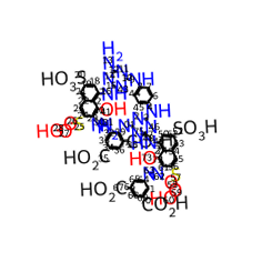 Nc1nc(Nc2ccc(Nc3nc(N)nc(Nc4cc(S(=O)(=O)O)cc5cc(SOOO)c(N=Nc6cc(C(=O)O)cc(C(=O)O)c6)c(O)c45)n3)cc2)nc(Nc2cc(S(=O)(=O)O)cc3cc(SOOO)c(N=Nc4cc(C(=O)O)cc(C(=O)O)c4)c(O)c23)n1